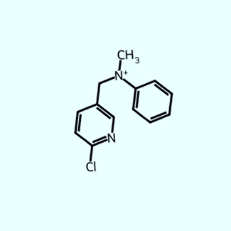 C[N+](Cc1ccc(Cl)nc1)c1ccccc1